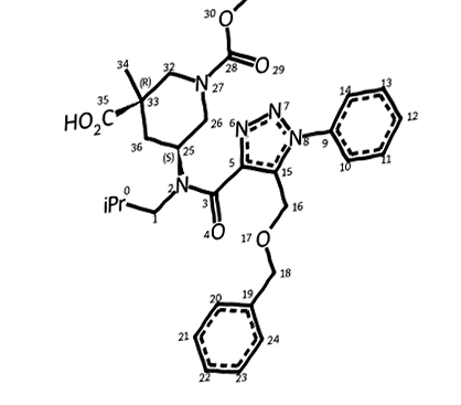 CC(C)CN(C(=O)c1nnn(-c2ccccc2)c1COCc1ccccc1)[C@@H]1CN(C(=O)OC(C)(C)C)C[C@](C)(C(=O)O)C1